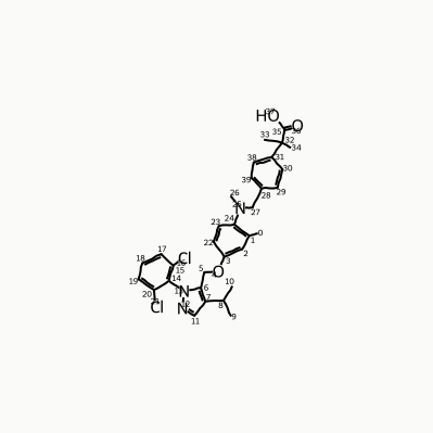 Cc1cc(OCc2c(C(C)C)cnn2-c2c(Cl)cccc2Cl)ccc1N(C)Cc1ccc(C(C)(C)C(=O)O)cc1